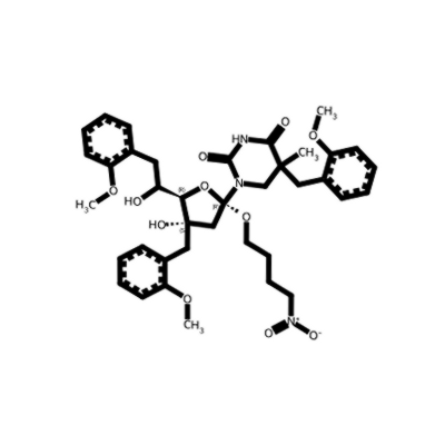 COc1ccccc1CC(O)[C@H]1O[C@@](OCCCC[N+](=O)[O-])(N2CC(C)(Cc3ccccc3OC)C(=O)NC2=O)C[C@@]1(O)Cc1ccccc1OC